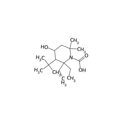 CCC1(CC)C(C(C)(C)C)C(O)CC(C)(C)N1C(=O)O